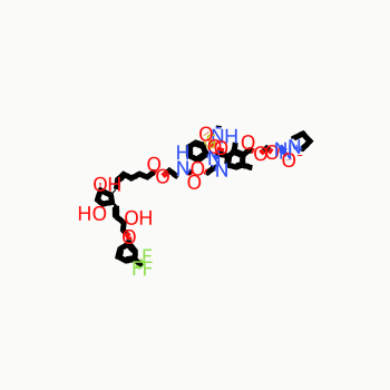 CNS(=O)(=O)c1ccccc1-n1c(COC(=O)NCCOC(=O)CCC/C=C\C[C@@H]2[C@@H](/C=C/[C@@H](O)COc3cccc(C(F)(F)F)c3)[C@H](O)C[C@@H]2O)nc2cc(C)c(C(=O)OCO/N=[N+](\[O-])N3CCCC3)c(C)c2c1=O